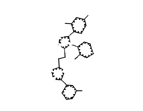 Oc1cccc(-c2nnc(CCc3nnc(-c4ccc(Cl)cc4Cl)n3-c3ccccc3Cl)o2)c1